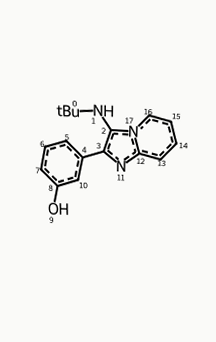 CC(C)(C)Nc1c(-c2cccc(O)c2)nc2ccccn12